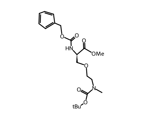 COC(=O)[C@@H](COCCN(C)C(=O)OC(C)(C)C)NC(=O)OCc1ccccc1